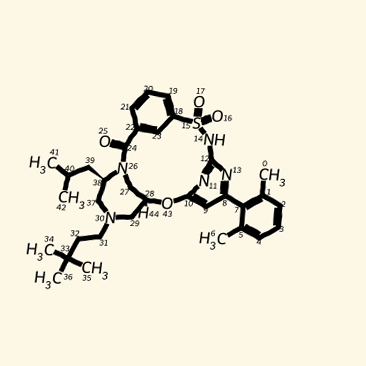 Cc1cccc(C)c1-c1cc2nc(n1)NS(=O)(=O)c1cccc(c1)C(=O)N1C[C@@H](CN(CCC(C)(C)C)C[C@H]1CC(C)C)O2